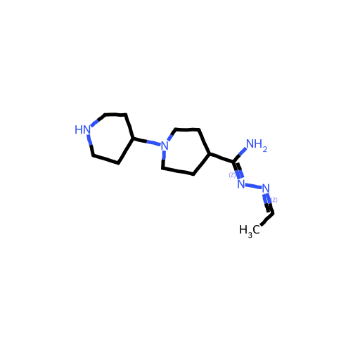 C/C=N\N=C(/N)C1CCN(C2CCNCC2)CC1